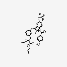 C=CCOC(=O)C(Cc1cccc(Cc2c(C)n(C(=O)c3ccc(OC)cc3)c3ccc(OC(F)(F)F)cc23)c1)OCC